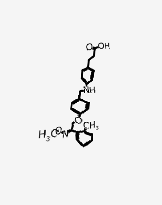 CO/N=C(\COc1ccc(CNc2ccc(CCC(=O)O)cc2)cc1)c1ccccc1C